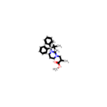 COC(=O)C(C)CN1CCCN([Si](c2ccccc2)(c2ccccc2)C(C)(C)C)C1